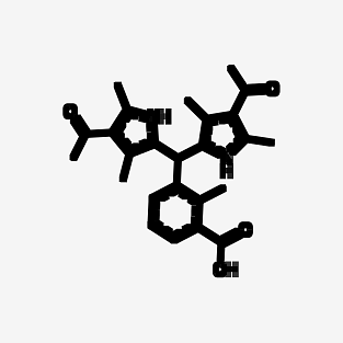 CC(=O)c1c(C)[nH]c(C(c2cccc(C(=O)O)c2C)c2[nH]c(C)c(C(C)=O)c2C)c1C